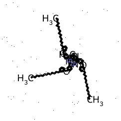 CCCCCCCCCCCCCCCc1cccc(Oc2ccc3c(c2)C2=NC/3=N\c3c4cc(Oc5cccc(CCCCCCCCCCCCCCC)c5)ccc4c4n3B(OC)n3c(c5cc(Oc6cccc(CCCCCCCCCCCCCCC)c6)ccc5/c3=N/2)=N4)c1